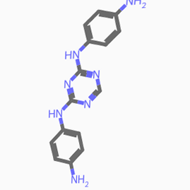 Nc1ccc(Nc2ncnc(Nc3ccc(N)cc3)n2)cc1